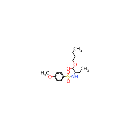 CCCCOC(=O)[C@@H](CC)NS(=O)(=O)c1ccc(OC)cc1